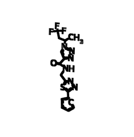 CC(CC(F)(F)F)n1cc(C(=O)NCc2nnc(-c3ccccc3)s2)nn1